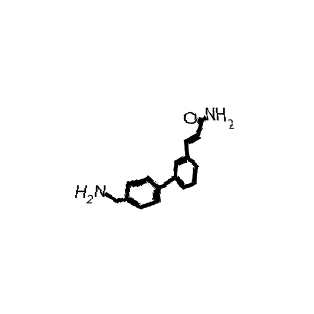 NCc1ccc(-c2cccc(C=CC(N)=O)c2)cc1